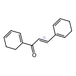 O=C(/C=C/C1=CCCC=C1)C1=CC=CCC1